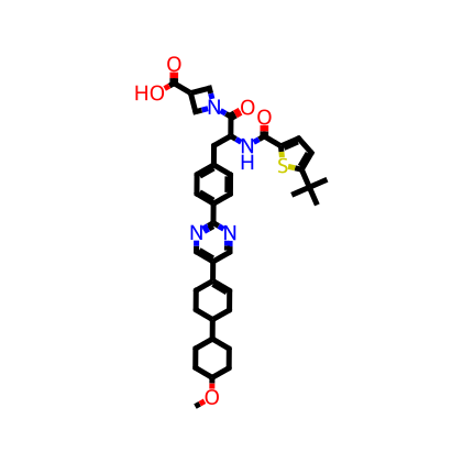 COC1CCC(C2CC=C(c3cnc(-c4ccc(CC(NC(=O)c5ccc(C(C)(C)C)s5)C(=O)N5CC(C(=O)O)C5)cc4)nc3)CC2)CC1